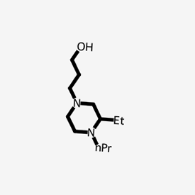 CCCN1CCN(CCCO)CC1CC